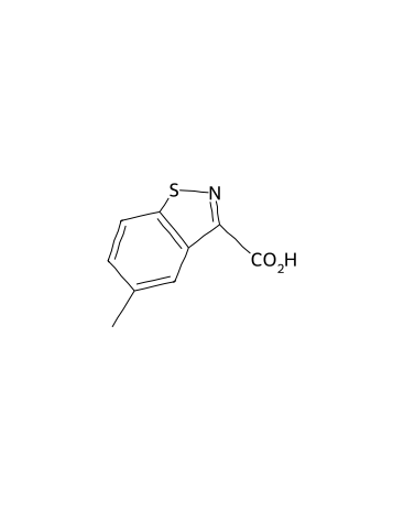 Cc1ccc2snc(C(=O)O)c2c1